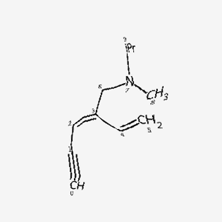 C#C/C=C(\C=C)CN(C)C(C)C